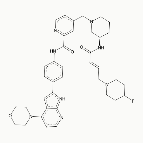 O=C(/C=C/CN1CCC(F)CC1)N[C@@H]1CCCN(Cc2ccnc(C(=O)Nc3ccc(-c4cc5c(N6CCOCC6)ncnc5[nH]4)cc3)c2)C1